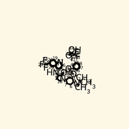 CC(C)N(C)[C@@H]1CC[C@H](N2CC[C@@H](Nc3ccnc4ccc(C(F)(F)F)cc34)C2=O)[C@H](CS(=O)(=O)c2ccccc2)C1.O=C(O)C(F)(F)F